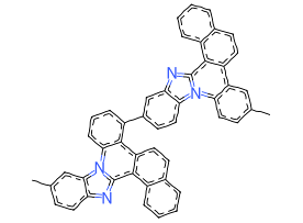 Cc1ccc2c(c1)c1ccc3ccccc3c1c1nc3cc(-c4cccc5c4c4ccc6ccccc6c4c4nc6ccc(C)cc6n54)ccc3n21